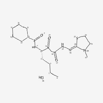 CCCC[C@H](NC(=O)C1CCCCC1)C(=O)C(=O)N/N=C1\SCCN1C.Cl